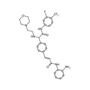 Nc1ccccc1NC(=O)C=Cc1ccc(C(NCCN2CCOCC2)C(=O)Nc2ccc(C(F)(F)F)c(F)c2)cc1